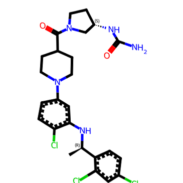 C[C@@H](Nc1cc(N2CCC(C(=O)N3CC[C@H](NC(N)=O)C3)CC2)ccc1Cl)c1ccc(Cl)cc1Cl